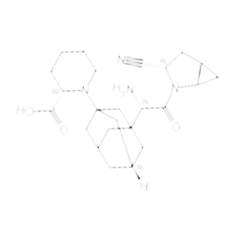 N#C[C@@H]1CC2CC2N1C(=O)[C@@H](N)C12CC3C[C@@H](C1)CC(N1CCCC[C@H]1C(=O)O)(C3)C2